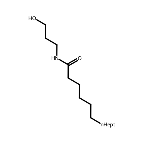 CCCCCCCCCCCCC(=O)NCCCO